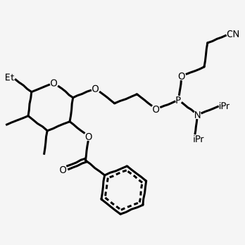 CCC1OC(OCCOP(OCCC#N)N(C(C)C)C(C)C)C(OC(=O)c2ccccc2)C(C)C1C